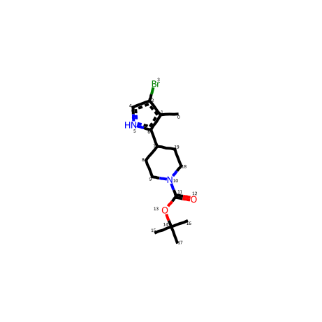 Cc1c(Br)c[nH]c1C1CCN(C(=O)OC(C)(C)C)CC1